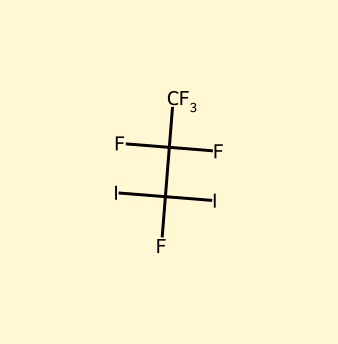 FC(F)(F)C(F)(F)C(F)(I)I